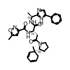 Cc1cc(C(=O)N[C@@H](CC(=O)N2CCC[C@@H]2C2(C)C=CC=CC2)C(=O)N[C@@H](C)c2ncc(-c3ccccc3)[nH]2)no1